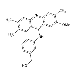 COc1cc2c(Nc3cccc(CO)c3)c3cc(C)c(C)cc3nc2cc1C